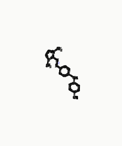 Cn1cc[n+](C)c1/N=N/c1ccc(Nc2ccc(C#N)cc2)cc1